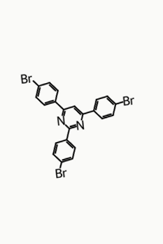 Brc1ccc(-c2cc(-c3ccc(Br)cc3)nc(-c3ccc(Br)cc3)n2)cc1